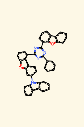 c1ccc(-c2nc(-c3cccc4c3oc3ccccc34)nc(-c3cccc4oc5cc(-n6c7ccccc7c7ccccc76)ccc5c34)n2)cc1